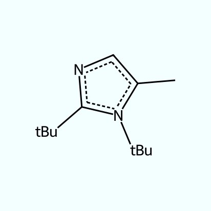 Cc1cnc(C(C)(C)C)n1C(C)(C)C